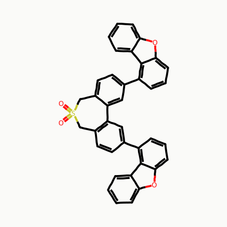 O=S1(=O)Cc2ccc(-c3cccc4oc5ccccc5c34)cc2-c2cc(-c3cccc4oc5ccccc5c34)ccc2C1